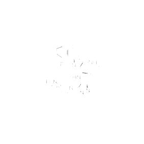 Cn1ncc(NC(=O)c2nc(-c3c(F)cccc3F)sc2N)c1N1CC[C@@H](N)C1